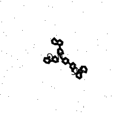 c1ccc2c(-c3ccc(N(c4ccc(-c5ccc6c(c5)Sc5cccc7c8ccccc8n-6c57)cc4)c4ccc5c(c4)oc4ccccc45)cc3)cccc2c1